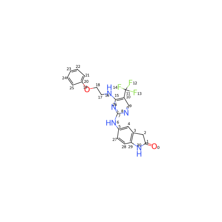 O=C1Cc2cc(Nc3ncc(C(F)(F)F)c(NCCOc4ccccc4)n3)ccc2N1